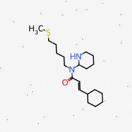 CSCCCCCN(C(=O)/C=C/C1CCCCC1)C1CCCCN1